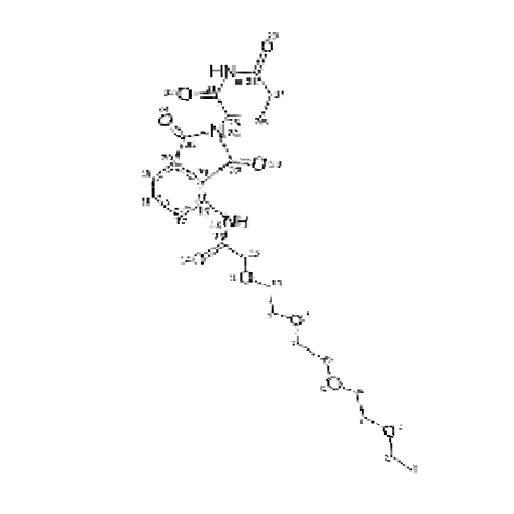 CCOCCOCCOCCOCC(=O)Nc1cccc2c1C(=O)N(C1CCC(=O)NC1=O)C2=O